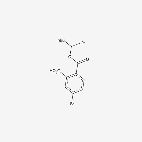 CCCCC(OC(=O)c1ccc(Br)cc1C(=O)O)C(C)C